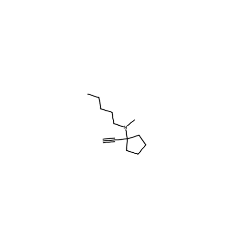 C#CC1(N(C)CCCCC)CCCC1